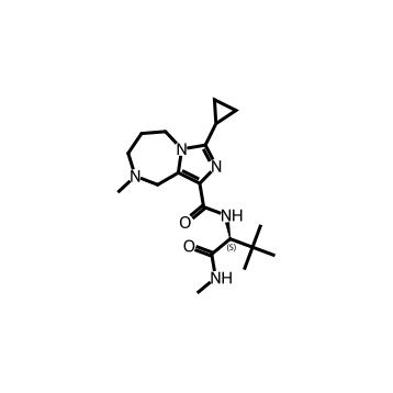 CNC(=O)[C@@H](NC(=O)c1nc(C2CC2)n2c1CN(C)CCC2)C(C)(C)C